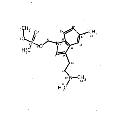 COP(C)(=O)OCn1cc(CCN(C)C)c2cc(C)ccc21